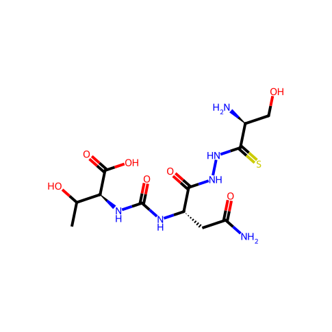 CC(O)[C@H](NC(=O)N[C@@H](CC(N)=O)C(=O)NNC(=S)[C@@H](N)CO)C(=O)O